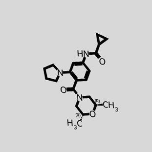 C[C@@H]1CN(C(=O)c2ccc(NC(=O)C3CC3)cc2N2CCCC2)C[C@@H](C)O1